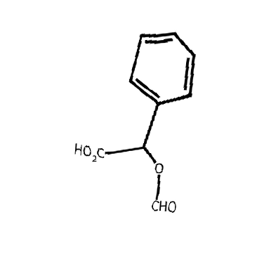 O=COC(C(=O)O)c1ccccc1